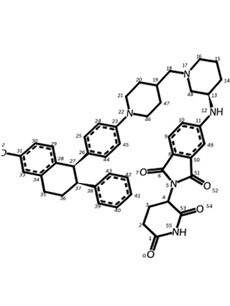 O=C1CCC(N2C(=O)c3ccc(N[C@@H]4CCCN(CC5CCN(c6ccc([C@@H]7c8ccc(O)cc8CC[C@@H]7c7ccccc7)cc6)CC5)C4)cc3C2=O)C(=O)N1